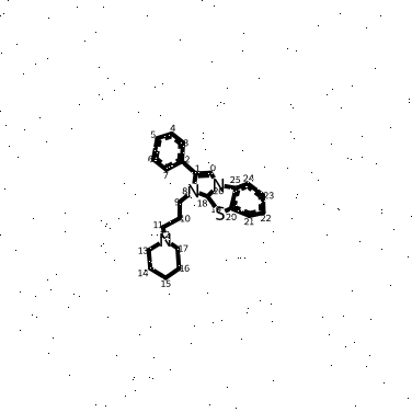 C1=C(c2ccccc2)N(CCCN2CCCCC2)C2Sc3ccccc3N12